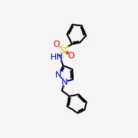 O=S(=O)(Nc1ccn(Cc2ccccc2)n1)c1ccccc1